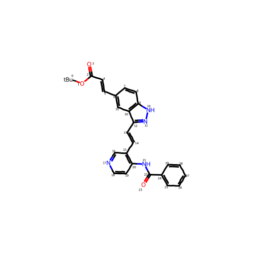 CC(C)(C)OC(=O)C=Cc1ccc2[nH]nc(C=Cc3cnccc3NC(=O)c3ccccc3)c2c1